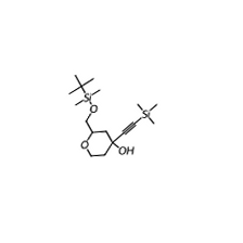 CC(C)(C)[Si](C)(C)OCC1CC(O)(C#C[Si](C)(C)C)CCO1